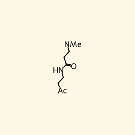 CNCCC(=O)NCCC(C)=O